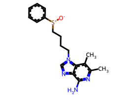 Cc1nc(N)c2ncn(CCCC[S+]([O-])c3ccccc3)c2c1C